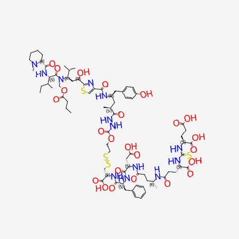 CCCC(=O)OCN(C(=O)[C@@H](NC(=O)[C@H]1CCCCN1C)C(C)CC)[C@H](C[C@@H](O)c1nc(C(=O)N[C@@H](Cc2ccc(O)cc2)C[C@H](C)C(=O)NNC(=O)OCCSSC[C@H](NC(=O)[C@H](Cc2ccccc2)NC(=O)[C@H](CC(=O)O)NC(=O)CC[C@@H](C)NC(=O)CC[C@H](NC(=S)N[C@@H](CCC(=O)O)C(=O)O)C(=O)O)C(=O)O)cs1)C(C)C